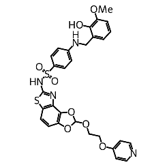 COc1cccc(CNc2ccc(S(=O)(=O)Nc3nc4c5c(ccc4s3)OC(OCCOc3ccncc3)O5)cc2)c1O